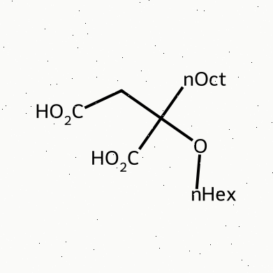 CCCCCCCCC(CC(=O)O)(OCCCCCC)C(=O)O